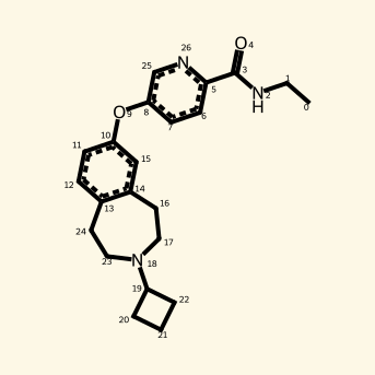 CCNC(=O)c1ccc(Oc2ccc3c(c2)CCN(C2CCC2)CC3)cn1